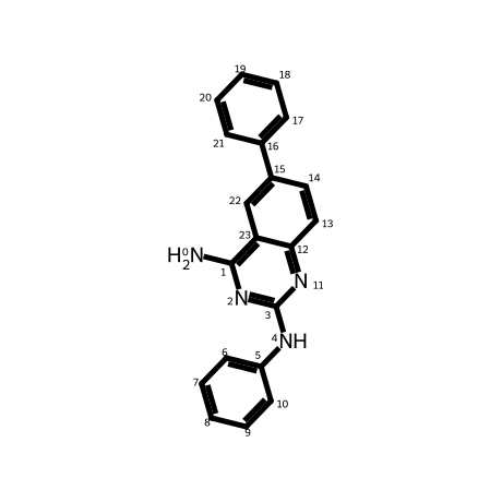 Nc1nc(Nc2ccccc2)nc2ccc(-c3ccccc3)cc12